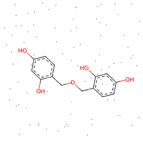 Oc1ccc(COCc2ccc(O)cc2O)c(O)c1